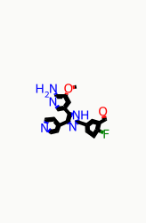 COc1cc(-c2[nH]c(-c3ccc(F)c(C=O)c3)nc2-c2ccncc2)cnc1N